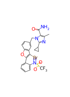 Cc1nc(C2CC2)n(Cc2ccc3oc(-c4ccccc4NS(=O)(=O)C(F)(F)F)c(Br)c3c2)c1C(N)=O